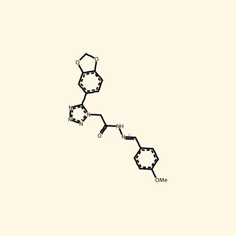 COc1ccc(/C=N/NC(=O)Cn2nnnc2-c2ccc3c(c2)OCO3)cc1